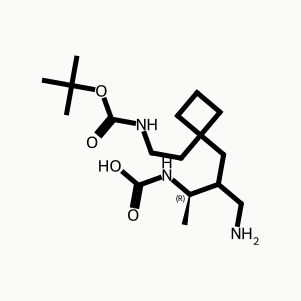 C[C@@H](NC(=O)O)C(CN)CC1(CCNC(=O)OC(C)(C)C)CCC1